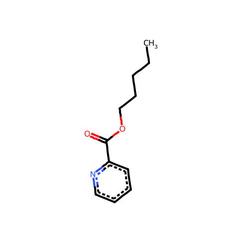 CCCCCOC(=O)c1ccccn1